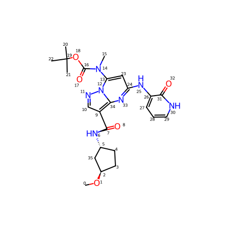 CO[C@@H]1CC[C@@H](NC(=O)c2cnn3c(N(C)C(=O)OC(C)(C)C)cc(Nc4ccc[nH]c4=O)nc23)C1